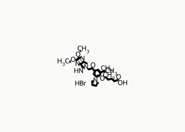 Br.CCOc1nc2c(nc1OCC)C(=N)N(CC(=O)c1cc(N3CCCC3)c(OCCCCC(=O)O)c(C(C)(C)C)c1)C2